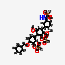 COc1cc(-c2cccc(NS(C)(=O)=O)c2)c(OC)c(OS(C)(=O)=O)c1-c1ccc(OCc2ccccc2)c(OS(C)(=O)=O)c1